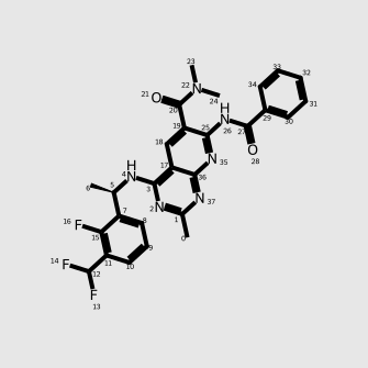 Cc1nc(N[C@H](C)c2cccc(C(F)F)c2F)c2cc(C(=O)N(C)C)c(NC(=O)c3ccccc3)nc2n1